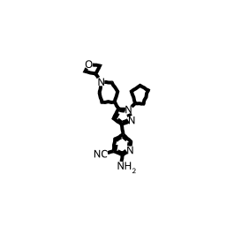 N#Cc1cc(-c2cc(C3CCN(C4COC4)CC3)n(C3CCCC3)n2)cnc1N